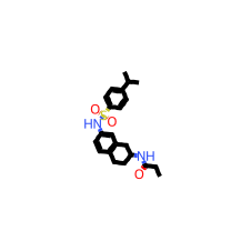 CCC(=O)NC1CCc2ccc(NS(=O)(=O)c3ccc(C(C)C)cc3)cc2C1